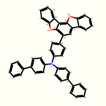 c1ccc(-c2ccc(N(c3ccc(-c4ccccc4)cc3)c3ccc(-c4cc5c6ccccc6oc5c5c4oc4ccccc45)cc3)cc2)cc1